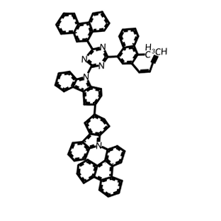 C#C/C=C\c1cc(-c2nc(-c3cc4ccccc4c4ccccc34)nc(-n3c4ccccc4c4cc(-c5ccc6c(c5)c5ccccc5n6-c5cccc6c7ccccc7c7ccccc7c56)ccc43)n2)c2ccccc2c1C